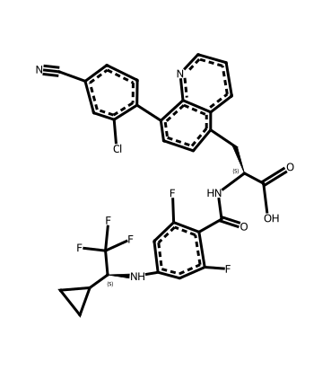 N#Cc1ccc(-c2ccc(C[C@H](NC(=O)c3c(F)cc(N[C@@H](C4CC4)C(F)(F)F)cc3F)C(=O)O)c3cccnc23)c(Cl)c1